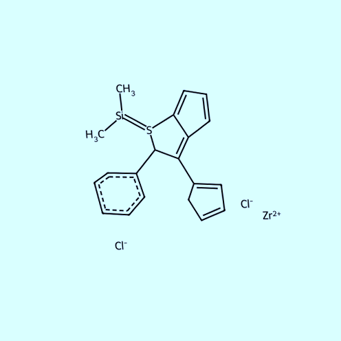 C[Si](C)=S1C2=CC=CC2=C(C2=CC=CC2)C1c1ccccc1.[Cl-].[Cl-].[Zr+2]